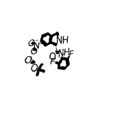 CC(C)(C)OC=O.O=C(Nc1c(F)cccc1F)[C@H]1NCc2ccc([N+](=O)[O-])cc21